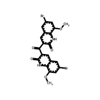 COc1cc(Br)cc2cc(C(=O)c3cc4cc(Br)cc(OC)c4[nH]c3=O)c(=O)[nH]c12